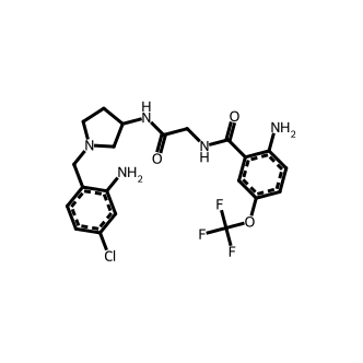 Nc1cc(Cl)ccc1CN1CCC(NC(=O)CNC(=O)c2cc(OC(F)(F)F)ccc2N)C1